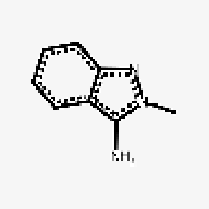 Cn1nc2ccccc2c1N